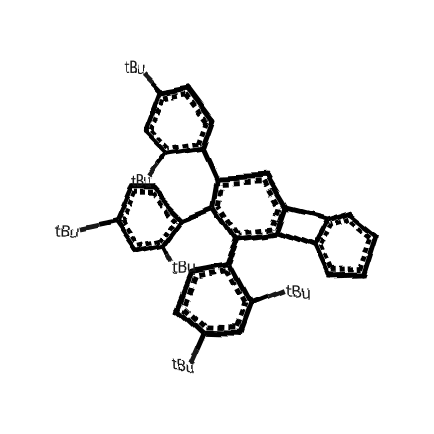 CC(C)(C)c1ccc(-c2cc3c(c(-c4ccc(C(C)(C)C)cc4C(C)(C)C)c2-c2ccc(C(C)(C)C)cc2C(C)(C)C)-c2ccccc2-3)c(C(C)(C)C)c1